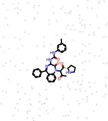 CC(=O)C(C(=O)[C@@H]1CCCN1)N1C(=O)C(NC(=O)Nc2cccc(C)c2)N=C(c2ccccc2)c2ccccc21